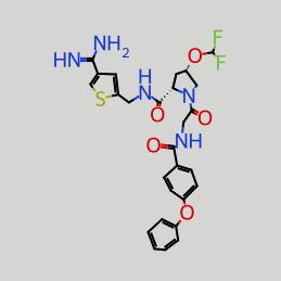 N=C(N)c1csc(CNC(=O)[C@@H]2C[C@H](OC(F)F)CN2C(=O)CNC(=O)c2ccc(Oc3ccccc3)cc2)c1